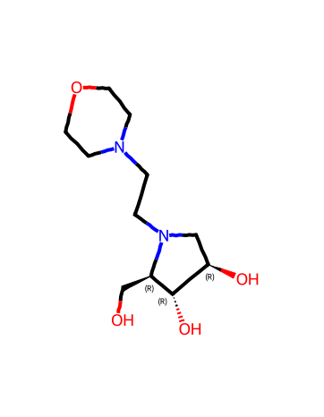 OC[C@@H]1[C@@H](O)[C@H](O)CN1CCN1CCOCC1